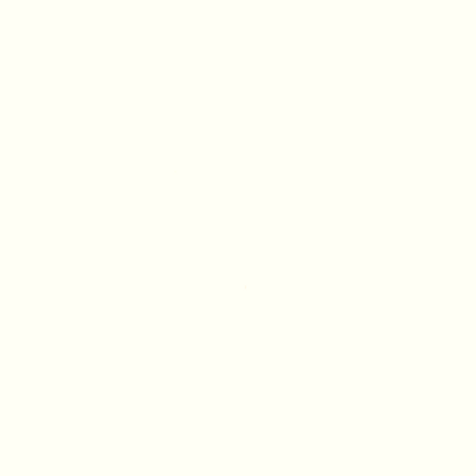 C1CCOCC1.C1COCOC1